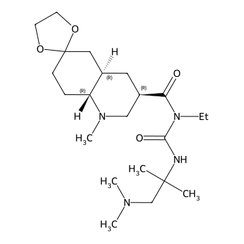 CCN(C(=O)NC(C)(C)CN(C)C)C(=O)[C@@H]1C[C@@H]2CC3(CC[C@H]2N(C)C1)OCCO3